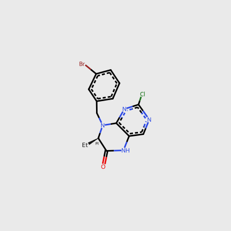 CC[C@@H]1C(=O)Nc2cnc(Cl)nc2N1Cc1cccc(Br)c1